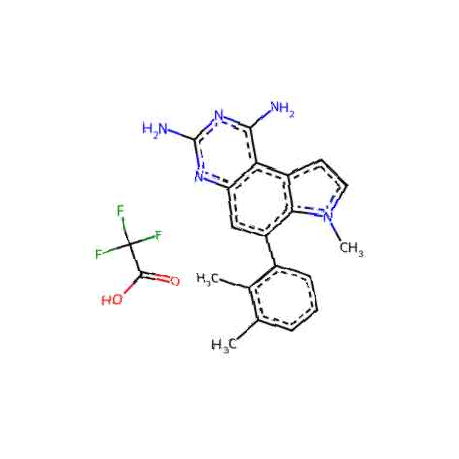 Cc1cccc(-c2cc3nc(N)nc(N)c3c3ccn(C)c23)c1C.O=C(O)C(F)(F)F